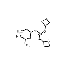 CCC(SC(C)C)[S][Sn]([S]C1CCS1)[S]C1CCS1